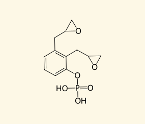 O=P(O)(O)Oc1cccc(CC2CO2)c1CC1CO1